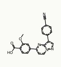 COc1cc(-c2ccn3ncc(-c4ccc(C#N)cc4)c3n2)ccc1C(=O)O